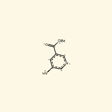 COC(=O)c1cncc(S)c1